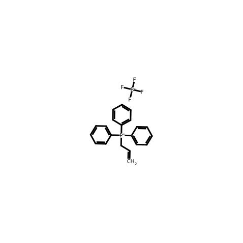 C=CC[P+](c1ccccc1)(c1ccccc1)c1ccccc1.F[B-](F)(F)F